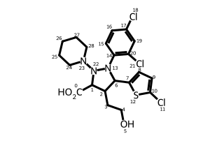 O=C(O)C1C(CCO)C(c2ccc(Cl)s2)N(c2ccc(Cl)cc2Cl)N1N1CCCCC1